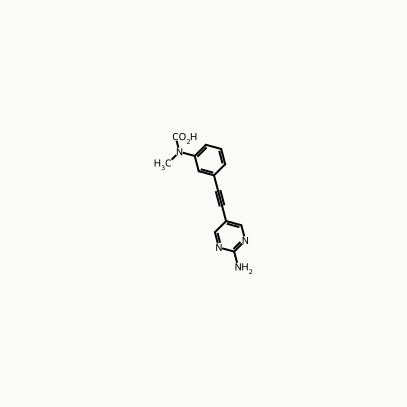 CN(C(=O)O)c1cccc(C#Cc2cnc(N)nc2)c1